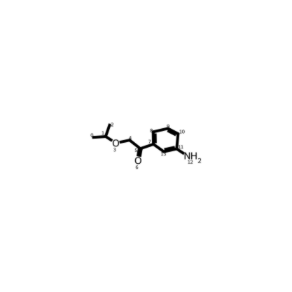 CC(C)OCC(=O)c1cccc(N)c1